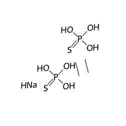 CC.CC.OP(O)(O)=S.OP(O)(O)=S.[NaH]